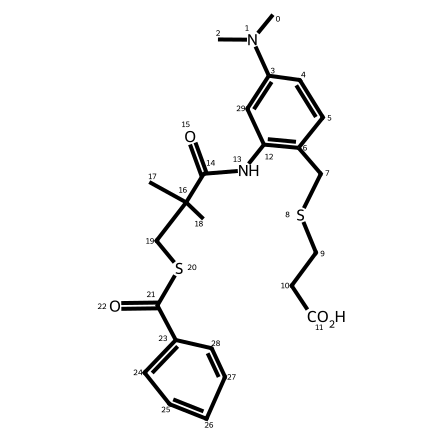 CN(C)c1ccc(CSCCC(=O)O)c(NC(=O)C(C)(C)CSC(=O)c2ccccc2)c1